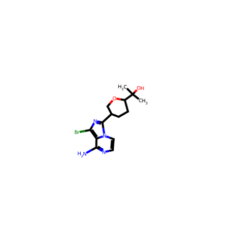 CC(C)(O)C1CCC(c2nc(Br)c3c(N)nccn23)CO1